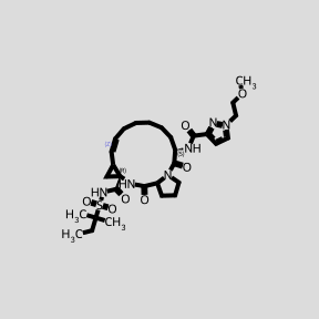 CCC(C)(C)S(=O)(=O)NC(=O)[C@@]12CC1/C=C\CCCCC[C@H](NC(=O)c1ccn(CCOC)n1)C(=O)N1CCCC1C(=O)N2